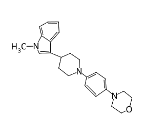 Cn1cc(C2CCN(c3ccc(N4CCOCC4)cc3)CC2)c2ccccc21